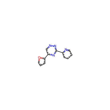 c1ccc(-c2nncc(-c3ccco3)n2)nc1